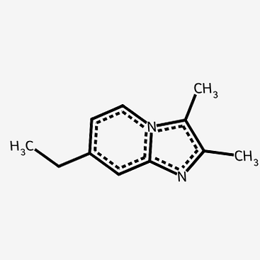 CCc1ccn2c(C)c(C)nc2c1